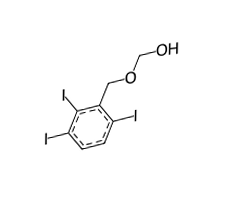 OCOCc1c(I)ccc(I)c1I